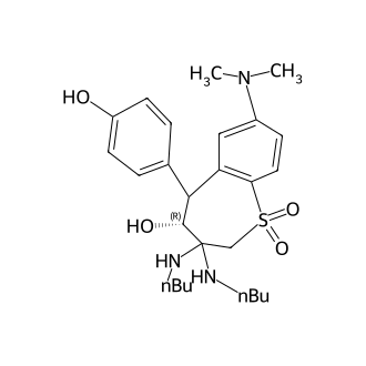 CCCCNC1(NCCCC)CS(=O)(=O)c2ccc(N(C)C)cc2C(c2ccc(O)cc2)[C@H]1O